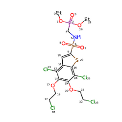 CCOP(=O)(CNS(=O)(=O)c1cc2c(Cl)c(OCCCl)c(OCCCl)c(Cl)c2s1)OCC